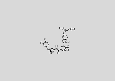 CN(CCO)Cc1ccc2[nH]c(-c3cc(C(=O)Nc4cnn(Cc5ccc(F)c(F)c5)c4)c[nH]c3=O)cc2c1